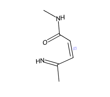 CNC(=O)/C=C\C(C)=N